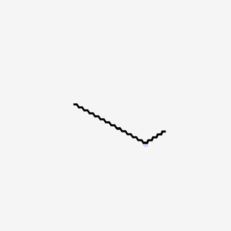 CCCCCCCC/C=C\CCCCCCCCC=CCCCCCCCCCCCCCCCC